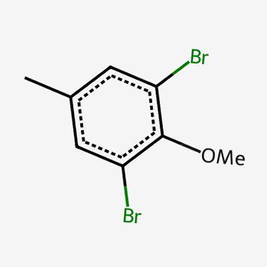 COc1c(Br)cc(C)cc1Br